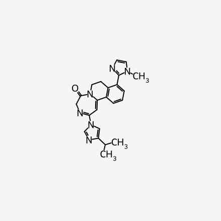 CC(C)c1cn(C2=NCC(=O)N3CCc4c(cccc4-c4nccn4C)C3=C2)cn1